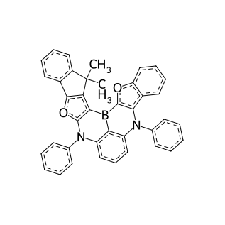 CC1(C)c2ccccc2-c2oc3c(c21)B1c2oc4ccccc4c2N(c2ccccc2)c2cccc(c21)N3c1ccccc1